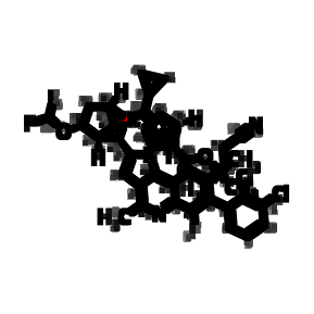 Cc1nc2c(F)c(-c3cccc(Cl)c3Cl)c(CCC#N)cc2c2c1cc([C@H]1[C@H]3C[C@H](C[C@@H]3OC(F)F)N1C(=O)C1CC1)n2[C@H]1[C@@H]2C[C@H]1N(C(=O)OC(C)(C)C)C2